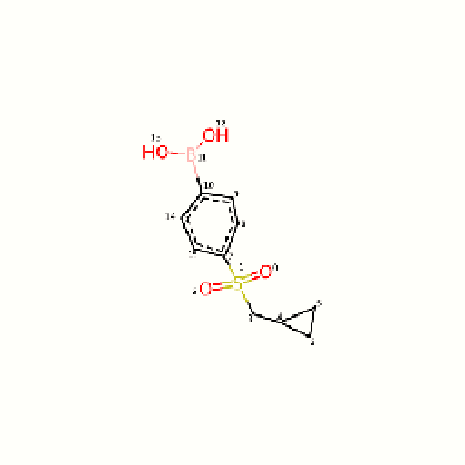 O=S(=O)(CC1CC1)c1ccc(B(O)O)cc1